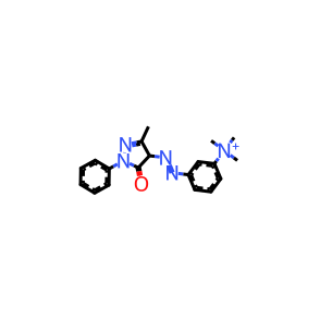 CC1=NN(c2ccccc2)C(=O)C1N=Nc1cccc([N+](C)(C)C)c1